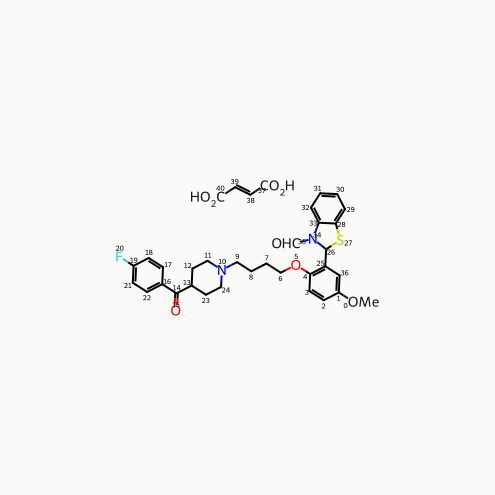 COc1ccc(OCCCCN2CCC(C(=O)c3ccc(F)cc3)CC2)c(C2Sc3ccccc3N2C=O)c1.O=C(O)C=CC(=O)O